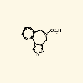 O=C(O)N1Cc2ccccc2-n2cnnc2C1